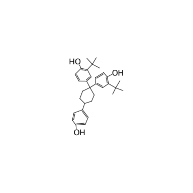 CC(C)(C)c1cc(C2(c3ccc(O)c(C(C)(C)C)c3)CCC(c3ccc(O)cc3)CC2)ccc1O